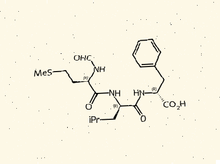 CSCC[C@@H](NC=O)C(=O)N[C@H](CC(C)C)C(=O)N[C@H](Cc1ccccc1)C(=O)O